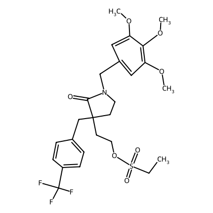 CCS(=O)(=O)OCCC1(Cc2ccc(C(F)(F)F)cc2)CCN(Cc2cc(OC)c(OC)c(OC)c2)C1=O